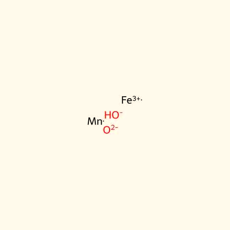 [Fe+3].[Mn].[O-2].[OH-]